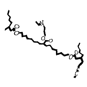 C=C=C=C=CC(CCCCC)CC(=O)OCCCCCCCCC(CCCCCCCCOC(=O)CC(C)CCCCC)C(=O)OCCCN(C)CC